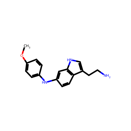 COc1ccc(Nc2ccc3c(CCN)c[nH]c3c2)cc1